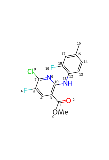 COC(=O)c1cc(F)c(Cl)nc1Nc1ccc(C)cc1F